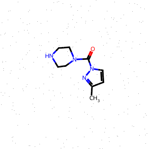 Cc1ccn(C(=O)N2CCNCC2)n1